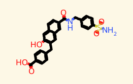 NS(=O)(=O)c1ccc(CNC(=O)c2ccc3cc(O)c(Cc4ccc(C(=O)O)cc4)cc3c2)cc1